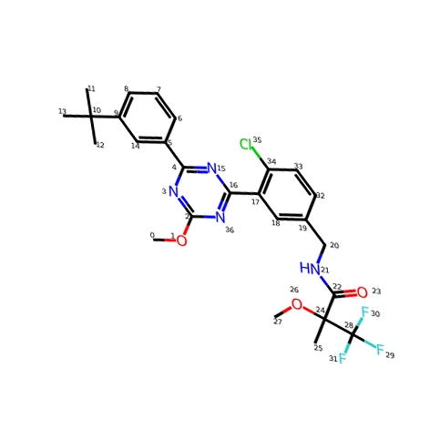 COc1nc(-c2cccc(C(C)(C)C)c2)nc(-c2cc(CNC(=O)C(C)(OC)C(F)(F)F)ccc2Cl)n1